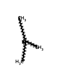 CCCCCCCCCCCCCCCn1cc[n+](CCCCCCCCCCCC)c1CCCCCCCC